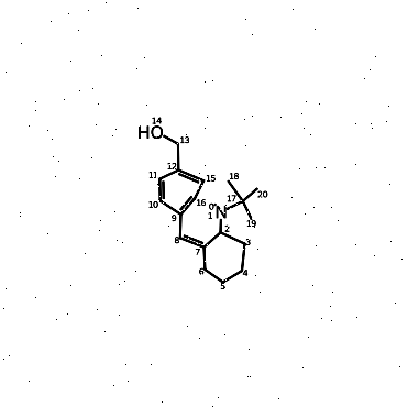 CN(C1CCCC/C1=C/c1ccc(CO)cc1)C(C)(C)C